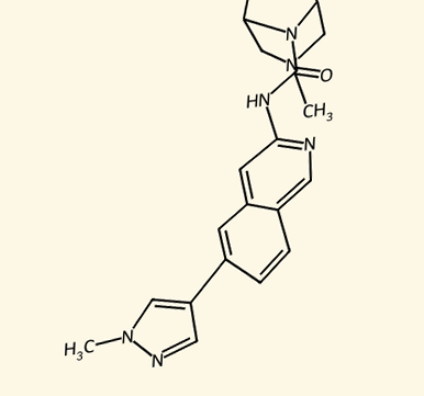 CN1CC2CCC(C1)N2C(=O)Nc1cc2cc(-c3cnn(C)c3)ccc2cn1